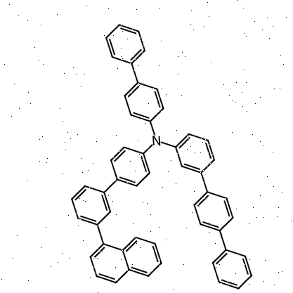 c1ccc(-c2ccc(-c3cccc(N(c4ccc(-c5ccccc5)cc4)c4ccc(-c5cccc(-c6cccc7ccccc67)c5)cc4)c3)cc2)cc1